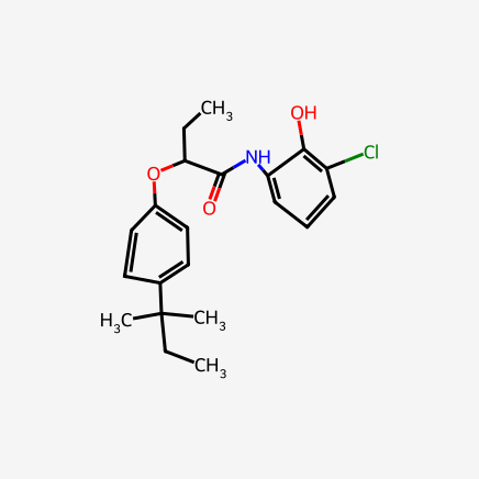 CCC(Oc1ccc(C(C)(C)CC)cc1)C(=O)Nc1cccc(Cl)c1O